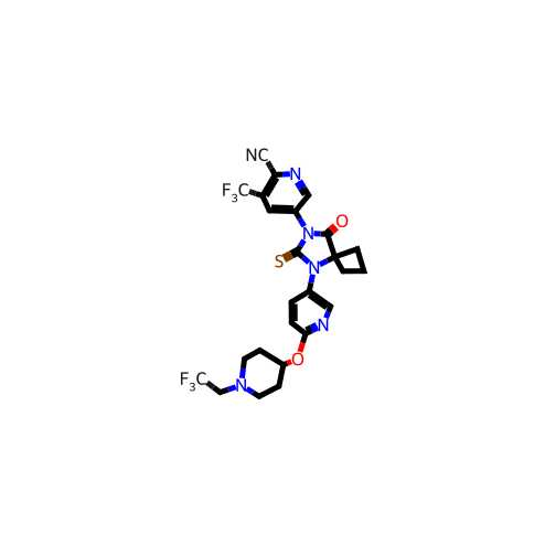 N#Cc1ncc(N2C(=O)C3(CCC3)N(c3ccc(OC4CCN(CC(F)(F)F)CC4)nc3)C2=S)cc1C(F)(F)F